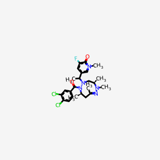 C/C1=N\N(C)[C@H](C)CN(C(C)c2cc(F)c(=O)n(C)c2)N(C(=O)c2ccc(Cl)c(Cl)c2)[C@H](C)C1